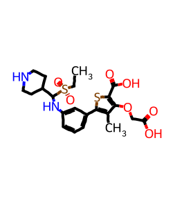 CCS(=O)(=O)C(Nc1cccc(-c2sc(C(=O)O)c(OCC(=O)O)c2C)c1)C1CCNCC1